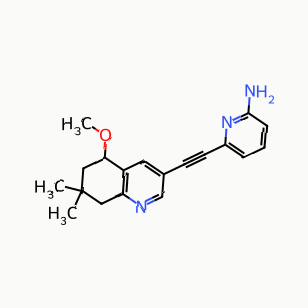 COC1CC(C)(C)Cc2ncc(C#Cc3cccc(N)n3)cc21